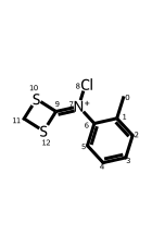 Cc1ccccc1[N+](Cl)=C1SCS1